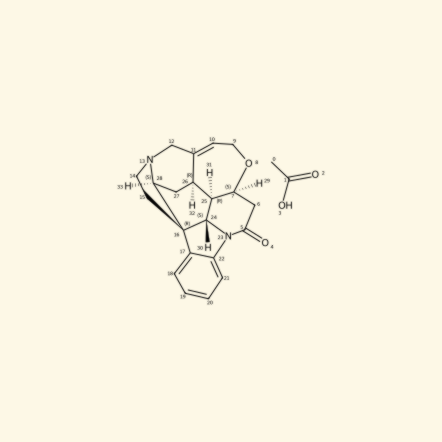 CC(=O)O.O=C1C[C@@H]2OCC=C3CN4CC[C@]56c7ccccc7N1[C@H]5[C@H]2[C@H]3C[C@H]46